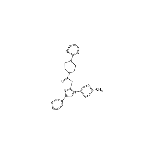 Cc1ccc(-n2cc(-c3ccccc3)nc2CC(=O)N2CCN(c3ncccn3)CC2)cc1